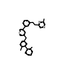 Cc1cncc(CCc2cccc(-c3cccc(Cc4ccc(C)c(-c5ccccc5C)c4)c3)c2)n1